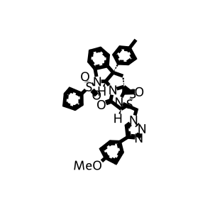 COc1ccc(-c2cn(CN3C(=O)[C@@]45C[C@]6(c7ccc(C)cc7)c7ccccc7N(S(=O)(=O)c7ccccc7)[C@@H]6N4C(=O)[C@@H]3SS5)nn2)cc1